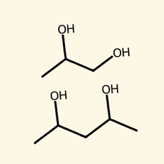 CC(O)CC(C)O.CC(O)CO